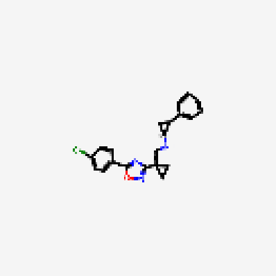 Clc1ccc(-c2nc(C3(CN[C@H]4CC4c4ccccc4)CC3)no2)cc1